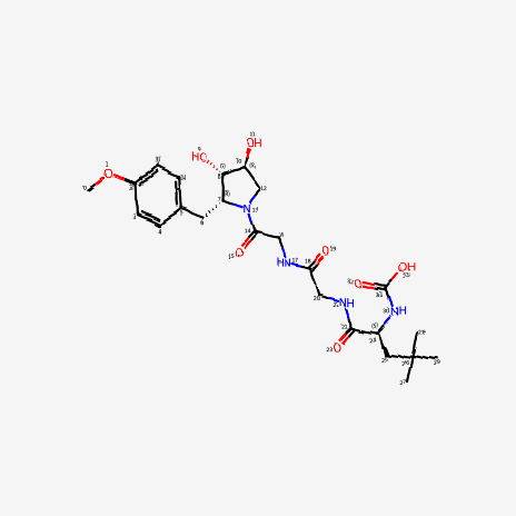 COc1ccc(C[C@@H]2[C@H](O)[C@@H](O)CN2C(=O)CNC(=O)CNC(=O)[C@H](CC(C)(C)C)NC(=O)O)cc1